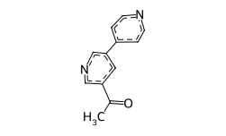 CC(=O)c1cncc(-c2ccncc2)c1